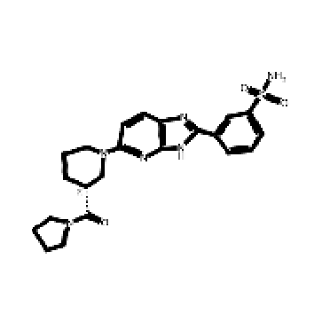 NS(=O)(=O)c1cccc(-c2nc3ccc(N4CCC[C@@H](C(=O)N5CCCC5)C4)nc3[nH]2)c1